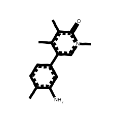 Cc1ccc(-c2cn(C)c(=O)c(C)c2C)cc1N